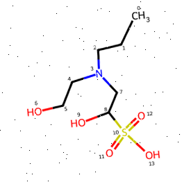 CCCN(CCO)CC(O)S(=O)(=O)O